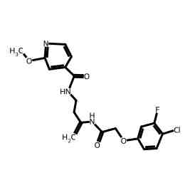 C=C(CCNC(=O)c1ccnc(OC)c1)NC(=O)COc1ccc(Cl)c(F)c1